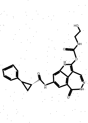 O=C(NCCO)Oc1[nH]c2cc(NC(=O)[C@@H]3C[C@H]3c3ccccc3)cc3c2c1C=NNC3=O